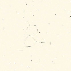 Cc1cnc2c(C(C)(C)O)cc(CCl)cc2c1